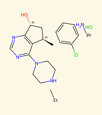 CC(C)N.CCC.C[C@@H]1C[C@@H](O)c2ncnc(N3CCNCC3)c21.Cl.Clc1ccccc1